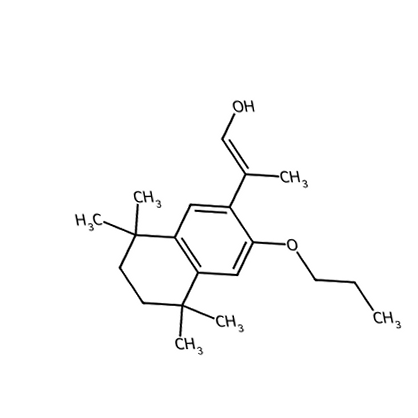 CCCOc1cc2c(cc1C(C)=CO)C(C)(C)CCC2(C)C